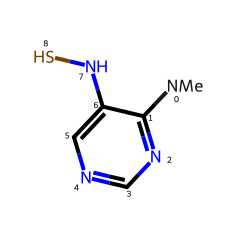 CNc1ncncc1NS